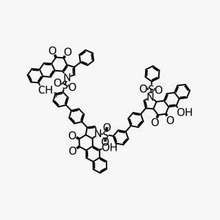 Cc1cccc2cc3c(cc12)-c1c(c(-c2ccccc2)cn1S(=O)(=O)c1cccc(-c2ccc(C4=CN(S(=O)(=O)c5cccc(-c6ccc(C7=CN(S(=O)(=O)c8ccccc8)C8c9cc%10ccccc%10c(O)c9C(=O)C(=O)C78)cc6)c5)C5c6c(cc7ccccc7c6O)C(=O)C(=O)C45)cc2)c1)C(=O)C3=O